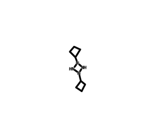 C1C[CH]([Bi]2[NH][Bi]([CH]3CCC3)[NH]2)C1